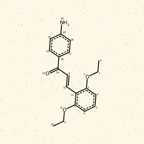 CCOc1cccc(OCC)c1C=CC(=O)c1ccc(N)cc1